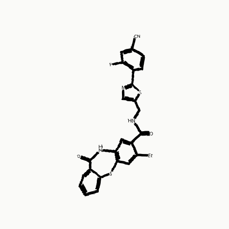 CCc1cc2c(cc1C(=O)NCc1cnc(-c3ccc(C#N)cc3F)s1)NC(=O)c1ccccc1S2